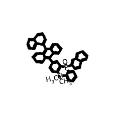 C[Si]1(C)c2ccccc2P(=O)(c2ccc3ccccc3c2)c2cc(-c3c4ccccc4c(-c4cccc5ccccc45)c4ccccc34)ccc21